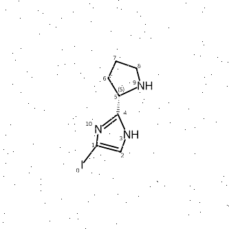 Ic1c[nH]c([C@@H]2CCCN2)n1